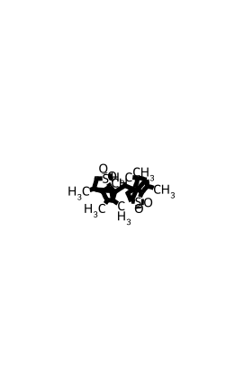 CC1C2C(CC3C4C5C(C)C3(C)C(C)C5(C)CS4(=O)=O)C3CC(C1S3(=O)=O)C2(C)C